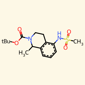 CC1c2cccc(NS(C)(=O)=O)c2CCN1C(=O)OC(C)(C)C